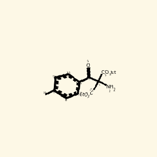 CCOC(=O)C(N)(C(=O)OCC)C(=O)c1ccc(C)cc1